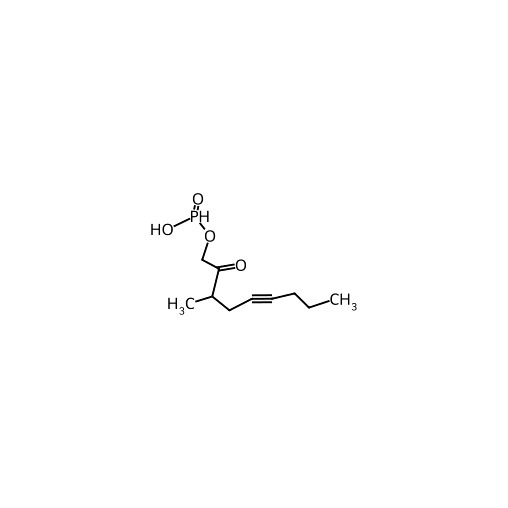 CCCC#CCC(C)C(=O)CO[PH](=O)O